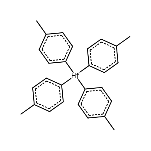 Cc1cc[c]([Hf]([c]2ccc(C)cc2)([c]2ccc(C)cc2)[c]2ccc(C)cc2)cc1